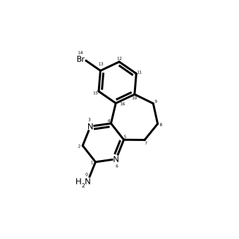 NC1CN=C2C(=N1)CCCc1ccc(Br)cc12